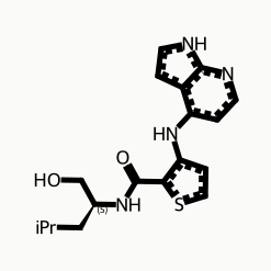 CC(C)C[C@@H](CO)NC(=O)c1sccc1Nc1ccnc2[nH]ccc12